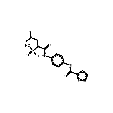 CC(C)CC(C(=O)Nc1ccc(NC(=O)c2cccs2)cc1)P(=O)(O)O